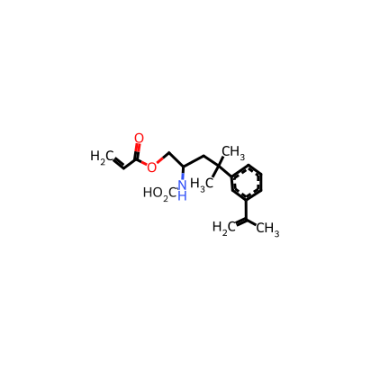 C=CC(=O)OCC(CC(C)(C)c1cccc(C(=C)C)c1)NC(=O)O